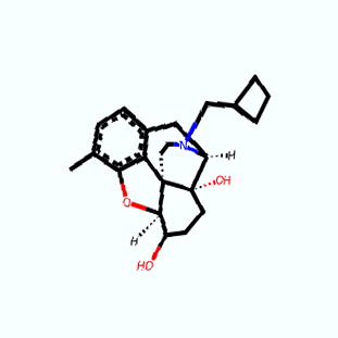 Cc1ccc2c3c1O[C@@H]1C(O)CC[C@]4(O)[C@H](C2)N(CC2CCC2)CC[C@@]314